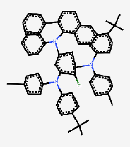 Cc1ccc(N(c2ccc(C(C)(C)C)cc2)c2cc(N(c3ccccc3)c3c(-c4ccccc4)ccc4ccccc34)cc(N(c3ccc(C)cc3)c3ccc(C(C)(C)C)cc3)c2Cl)cc1